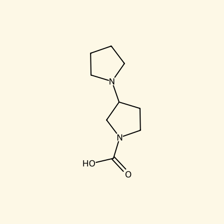 O=C(O)N1CCC(N2CCCC2)C1